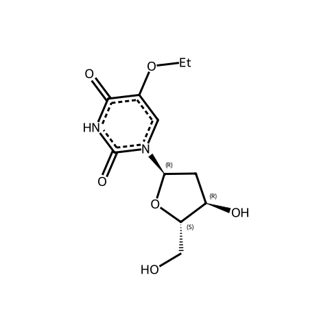 CCOc1cn([C@H]2C[C@@H](O)[C@H](CO)O2)c(=O)[nH]c1=O